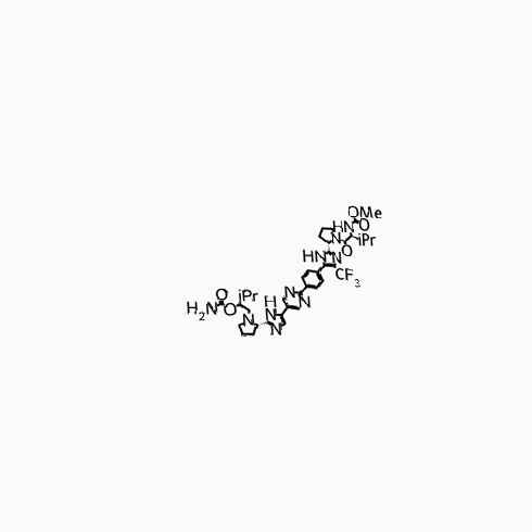 COC(=O)N[C@H](C(=O)N1CCC[C@H]1c1nc(C(F)(F)F)c(-c2ccc(-c3ncc(-c4cnc([C@@H]5CCCN5C[C@@H](OC(N)=O)C(C)C)[nH]4)cn3)cc2)[nH]1)C(C)C